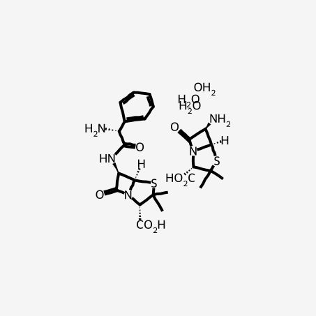 CC1(C)S[C@@H]2[C@H](N)C(=O)N2[C@H]1C(=O)O.CC1(C)S[C@@H]2[C@H](NC(=O)[C@H](N)c3ccccc3)C(=O)N2[C@H]1C(=O)O.O.O.O